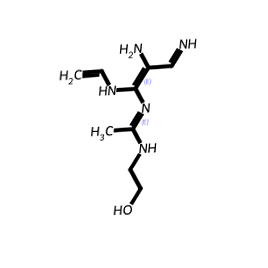 C=CNC(/N=C(\C)NCCO)=C(\N)C=N